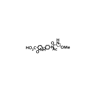 COC1CN[C@H](C(=O)N(C(C)=O)c2ccc(-c3ccc(C(=O)O)c(=O)[nH]3)cc2)C1